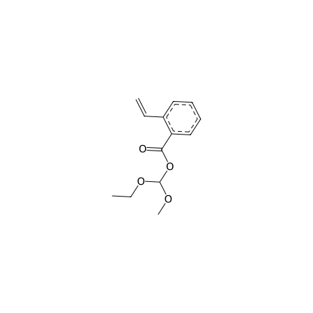 C=Cc1ccccc1C(=O)OC(OC)OCC